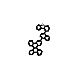 c1ccc2c(c1)sc1cccc(-c3ccc(-c4ccc5c(c4)c4ccccc4c4c6ccccc6c6ccccc6c54)c4ccccc34)c12